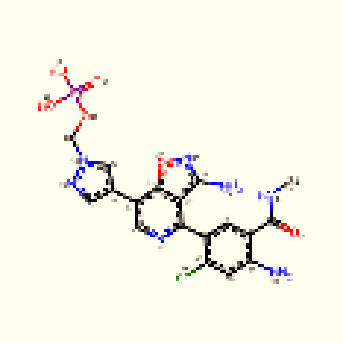 CCNC(=O)c1cc(-c2ncc(-c3cnn(COP(=O)(O)O)c3)c3onc(N)c23)c(Cl)cc1N